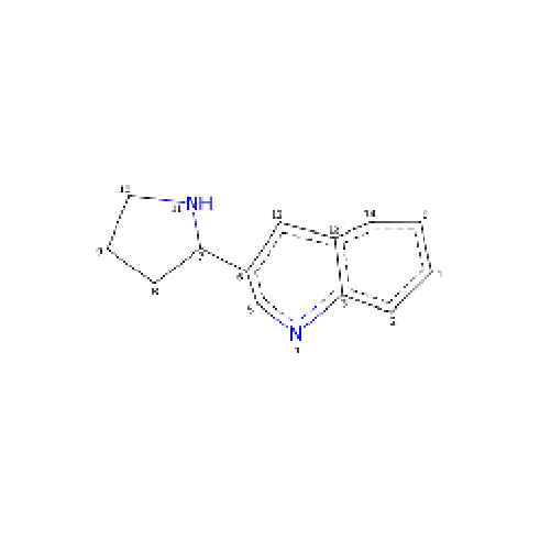 c1ccc2ncc(C3CCCN3)cc2c1